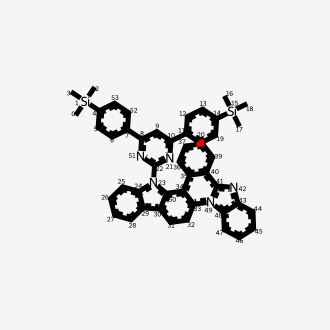 C[Si](C)(C)c1ccc(-c2cc(-c3ccc([Si](C)(C)C)cc3)nc(-n3c4ccccc4c4ccc5c(c6ccccc6c6nc7ccccc7n56)c43)n2)cc1